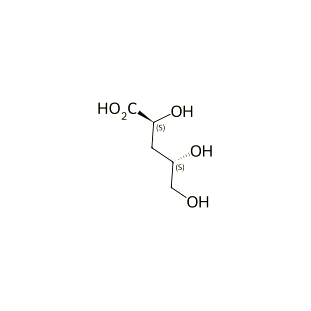 O=C(O)[C@@H](O)C[C@H](O)CO